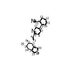 C[C@H]1[C@H](/C=C/c2ccc(-c3ccccc3C#N)cn2)c2cscc2C[C@@H]1C